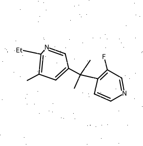 CCc1ncc(C(C)(C)c2ccncc2F)cc1C